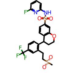 CS(=O)(=O)CCc1cc(C(F)(F)F)ccc1C1CCOc2cc(S(=O)(=O)Nc3cccc(F)n3)ccc21